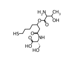 CC(O)C(N)C(=O)OC(CCCCS)CC(=O)N[C@H](CO)C(=O)O